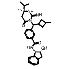 CC1CC(C(c2cccc(C(=O)N[C@@H]3c4ccccc4C[C@H]3O)c2)N2C(=N)N[C@](C)(C(C)C)CC2=O)C1